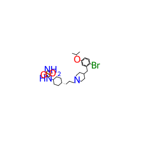 CC(C)Oc1ccc(Br)c(CC2CCN(CCC[C@H]3CC[C@H](NS(N)(=O)=O)CC3)CC2)c1